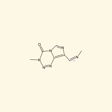 C/N=C\c1ncn2c(=O)n(C)nnc12